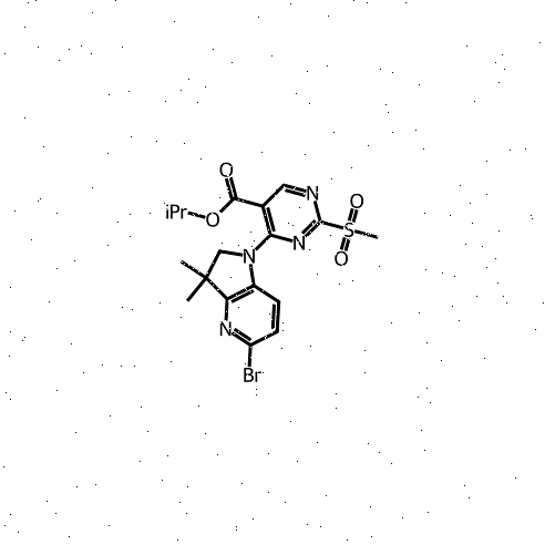 CC(C)OC(=O)c1cnc(S(C)(=O)=O)nc1N1CC(C)(C)c2nc(Br)ccc21